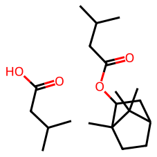 CC(C)CC(=O)O.CC(C)CC(=O)OC1CC2CCC1(C)C2(C)C